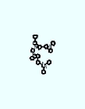 c1ccc(-c2ccc3c(c2)c2cc(-c4ccc5c(c4)c4ccccc4n5-c4ccccc4)ccc2n3-c2cccc(-n3c4ccccc4c4c(-c5cccc(-c6cc(-c7ccccc7)nc(-c7ccccc7)n6)c5)cccc43)c2)cc1